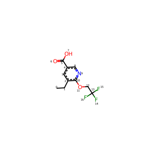 CCc1cc(C(=O)O)cnc1OCC(F)(F)F